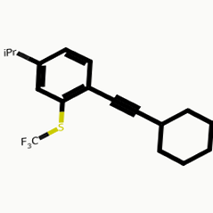 CC(C)c1ccc(C#CC2CCCCC2)c(SC(F)(F)F)c1